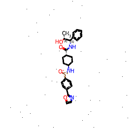 C[C@@H](O)[C@@H](NC(=O)[C@H]1CC[C@H](N[S+]([O-])c2ccc(-c3ncco3)cc2)CC1)c1ccccc1